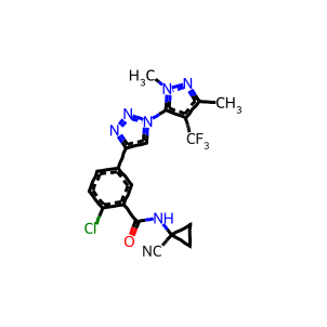 Cc1nn(C)c(-n2cc(-c3ccc(Cl)c(C(=O)NC4(C#N)CC4)c3)nn2)c1C(F)(F)F